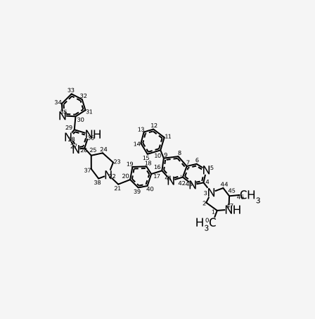 CC1CN(c2ncc3cc(-c4ccccc4)c(-c4ccc(CN5CCC(c6nnc(-c7ccccn7)[nH]6)CC5)cc4)nc3n2)CC(C)N1